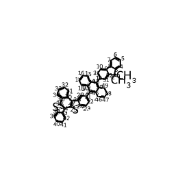 CC1(C)c2ccccc2-c2ccc(-c3c4ccccc4c(-c4ccc5sc6c(c5c4)c4ccccc4c4sc5ccccc5c46)c4ccccc34)cc21